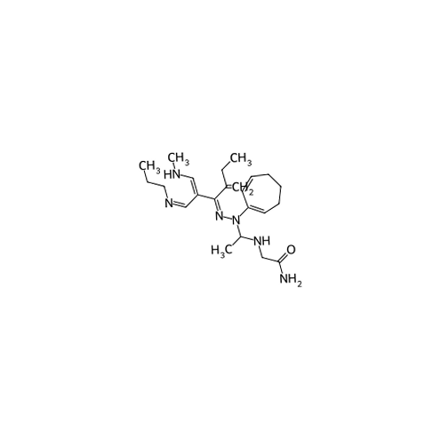 C=C(CC)C(=N\N(C1=CCCCC=C1)C(C)NCC(N)=O)/C(/C=N\CCC)=C/NC